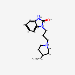 CCCCCC1CCN(CCCn2c(=O)[nH]c3ccccc32)CC1